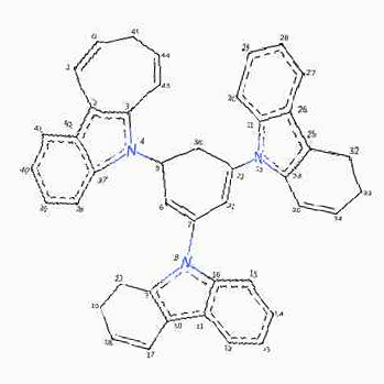 C1=Cc2c(n(C3C=C(n4c5c(c6ccccc64)C=CCC5)C=C(n4c5c(c6ccccc64)CCC=C5)C3)c3ccccc23)C=CC1